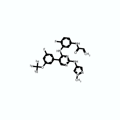 [2H]C([2H])([2H])Oc1cc(F)cc(-c2cnc(Nc3cnn(C)c3)nc2Nc2cc(NC(=O)C=C)ccc2F)c1